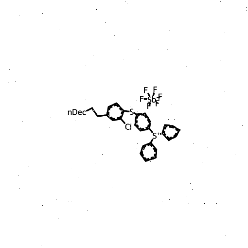 CCCCCCCCCCCCc1ccc(Sc2ccc([S+](c3ccccc3)c3ccccc3)cc2)c(Cl)c1.[F][Sb-]([F])([F])([F])([F])[F]